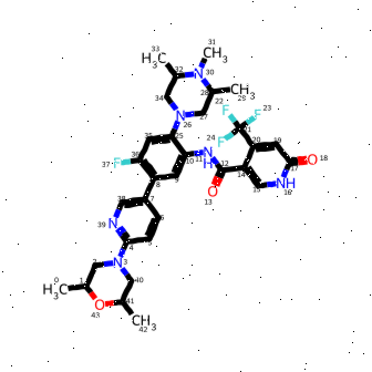 CC1CN(c2ccc(-c3cc(NC(=O)c4c[nH]c(=O)cc4C(F)(F)F)c(N4CC(C)N(C)C(C)C4)cc3F)cn2)CC(C)O1